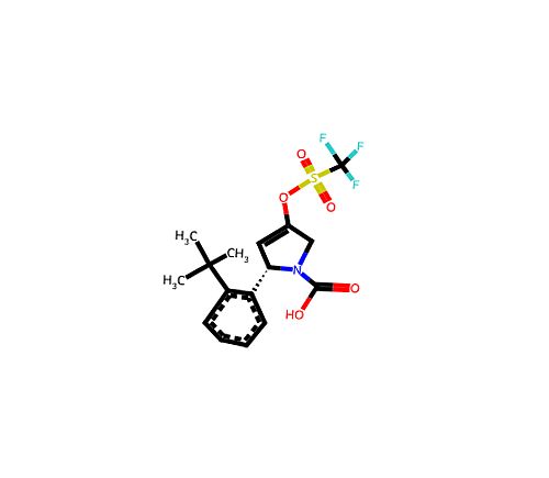 CC(C)(C)c1ccccc1[C@@H]1C=C(OS(=O)(=O)C(F)(F)F)CN1C(=O)O